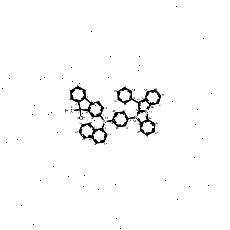 CC1(C)c2ccccc2-c2ccc(N(c3ccc(-n4c5ccccc5n5c6ccccc6c(-c6ccccc6)c45)cc3)c3cccc4ccccc34)cc21